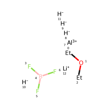 CCOCC.FB(F)F.[Al+3].[H-].[H-].[H-].[H-].[Li+]